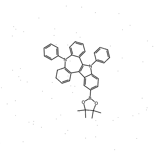 CC1(C)OB(c2ccc3c(c2)c2c(n3-c3ccccc3)-c3ccccc3N(c3ccccc3)C3=C2C=CCC3)OC1(C)C